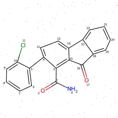 NC(=O)c1c(-c2ccccc2Cl)ccc2c1C(=O)c1ccccc1-2